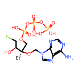 CC[C@](COP(=O)(O)OP(=O)(O)OP(=O)(O)O)(OCn1cnc2c(N)ncnc21)[C@@H](O)CF